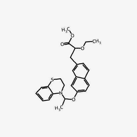 CCOC(Cc1ccc2ccc(OC(C)N3CCSc4ccccc43)cc2c1)C(=O)OC